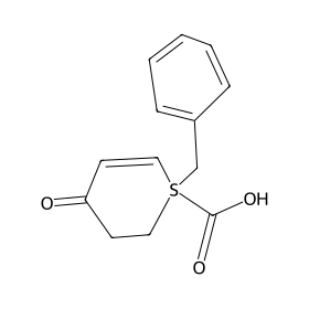 O=C1C=CS(Cc2ccccc2)(C(=O)O)CC1